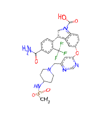 CS(=O)(=O)NC1CCN(Cc2cc(Oc3ccc4c(c3)c(-c3ccc(C(N)=O)cc3C(F)(F)F)cn4C(=O)O)ncn2)CC1